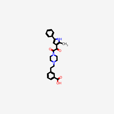 Cc1[nH]c(-c2ccccc2)cc1C(=O)C(=O)N1CCN(CCc2cccc(C(=O)O)c2)CC1